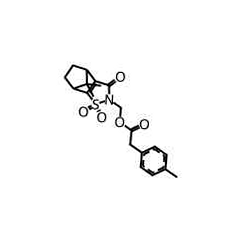 Cc1ccc(CC(=O)OCN2C(=O)C3=C(C4CCC3C4(C)C)S2(=O)=O)cc1